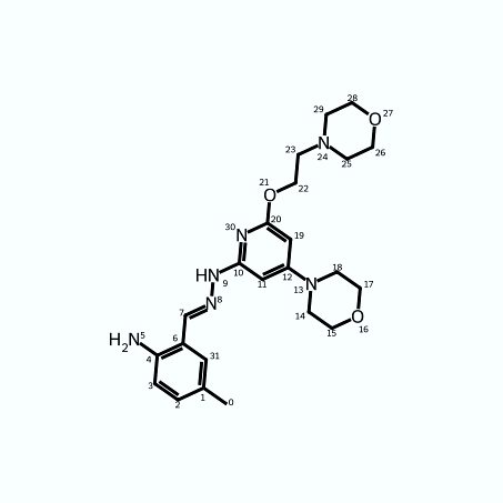 Cc1ccc(N)c(C=NNc2cc(N3CCOCC3)cc(OCCN3CCOCC3)n2)c1